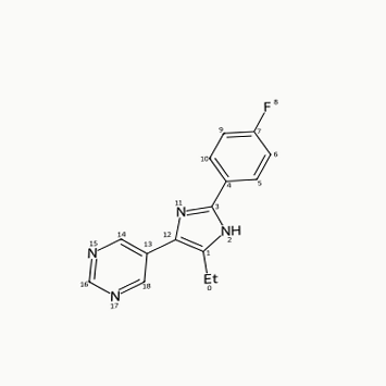 CCc1[nH]c(-c2ccc(F)cc2)nc1-c1cncnc1